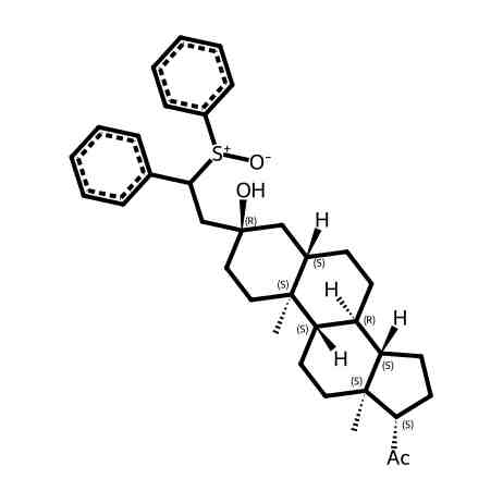 CC(=O)[C@H]1CC[C@H]2[C@@H]3CC[C@H]4C[C@@](O)(CC(c5ccccc5)[S+]([O-])c5ccccc5)CC[C@]4(C)[C@H]3CC[C@]12C